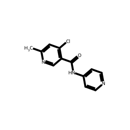 Cc1cc(Cl)c(C(=O)Nc2ccncc2)cn1